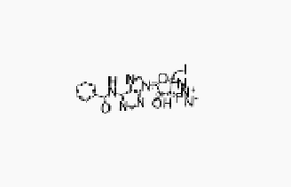 [N-]=[N+]=N[C@@]1(CI)O[C@@H](n2cnc3c(NC(=O)c4ccccc4)ncnc32)[C@H](O)[C@@H]1F